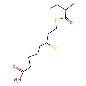 CCC(C)C(=O)SCCC(S)CCCCC(N)=O